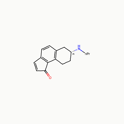 CCCN[C@@H]1CCc2c(ccc3c2C(=O)C=C3)C1